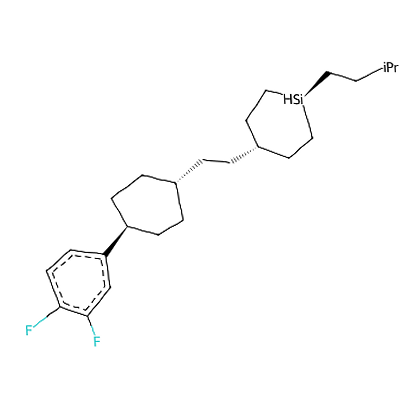 CC(C)CC[Si@H]1CC[C@H](CC[C@H]2CC[C@H](c3ccc(F)c(F)c3)CC2)CC1